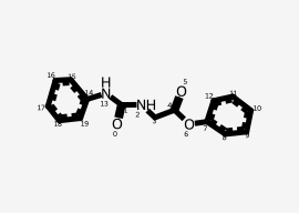 O=C(NCC(=O)Oc1ccccc1)Nc1ccccc1